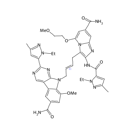 CCn1nc(C)cc1C(=O)Nc1nc2cc(C(N)=O)cc(OCCOC)n2c1C/C=C/Cn1c2nc(-c3cc(C)nn3CC)ncc2c2cc(C(N)=O)cc(OC)c21